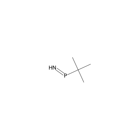 CC(C)(C)P=N